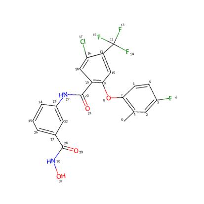 Cc1cc(F)ccc1Oc1cc(C(F)(F)F)c(Cl)cc1C(=O)Nc1cccc(C(=O)NO)c1